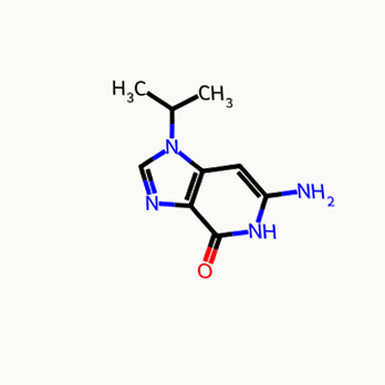 CC(C)n1cnc2c(=O)[nH]c(N)cc21